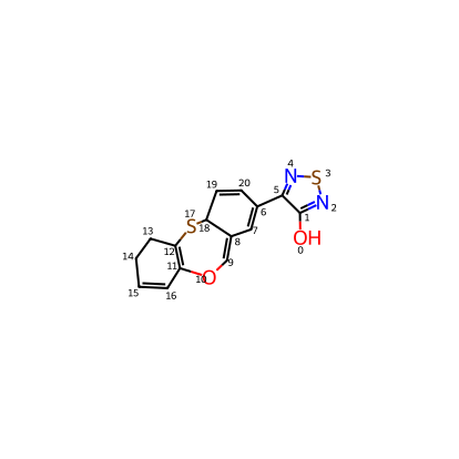 Oc1nsnc1C1=CC2=COC3=C(CCC=C3)SC2C=C1